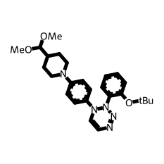 COC(OC)C1CCN(c2ccc(N3C=CN=NN3c3ccccc3OC(C)(C)C)cc2)CC1